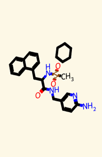 C1CCCCC1.CS(=O)(=O)NC(Cc1cccc2ccccc12)C(=O)NCc1ccc(N)nc1